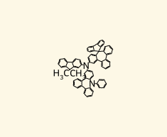 CC1(C)c2ccccc2-c2ccc(N(c3ccc4c(c3)-c3ccccc3-c3ccccc3N4c3ccccc3)c3ccc4c(c3)-c3ccccc3-c3ccccc3C43c4ccccc4-c4ccccc43)cc21